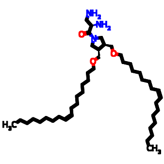 CCCCCCCC/C=C\CCCCCCCCOC[C@@H]1CN(C(=O)[C@@H](N)CN)C[C@H]1COCCCCCCCC/C=C\CCCCCCCC